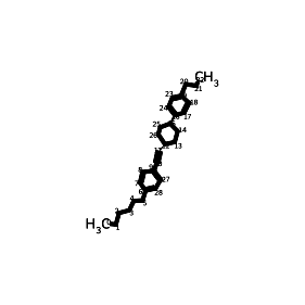 CCCCCCc1ccc(C#C[C@H]2CC[C@H](c3ccc(CCC)cc3)CC2)cc1